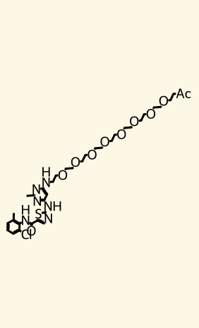 CC(=O)CCOCCOCCOCCOCCOCCOCCOCCOCCNc1cc(Nc2ncc(C(=O)Nc3c(C)cccc3Cl)s2)nc(C)n1